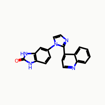 O=c1[nH]c2ccc(-n3ccnc3-c3ccnc4ccccc34)cc2[nH]1